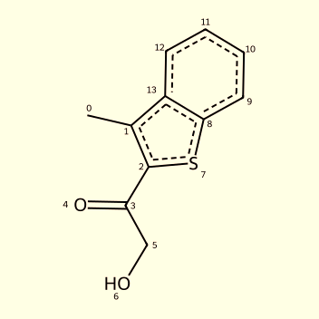 Cc1c(C(=O)CO)sc2ccccc12